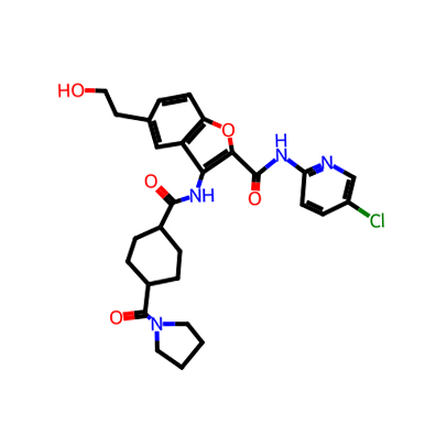 O=C(Nc1ccc(Cl)cn1)c1oc2ccc(CCO)cc2c1NC(=O)C1CCC(C(=O)N2CCCC2)CC1